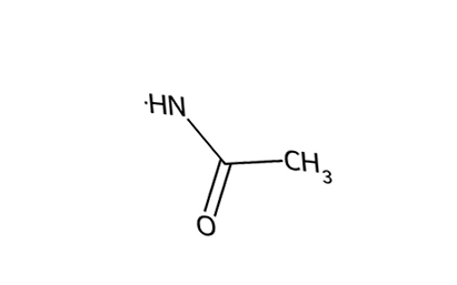 CC([NH])=O